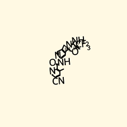 Cc1cc(C#N)cnc1C(=O)Nc1cc2c(cn1)C[C@@]21CO[C@@](C)(C(F)(F)F)C(N)=N1